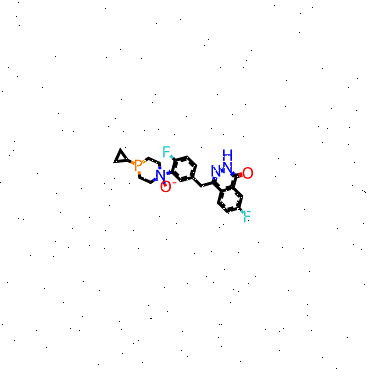 O=c1[nH]nc(Cc2ccc(F)c([N+]3([O-])CCP(C4CC4)CC3)c2)c2ccc(F)cc12